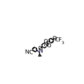 N#Cc1cccc(/C(=N\OC2CCN(S(=O)(=O)c3ccc(OC(F)(F)F)cc3)CC2)C2CC2)c1